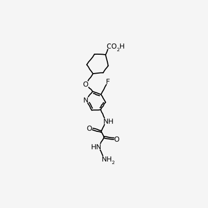 NNC(=O)C(=O)Nc1cnc(OC2CCC(C(=O)O)CC2)c(F)c1